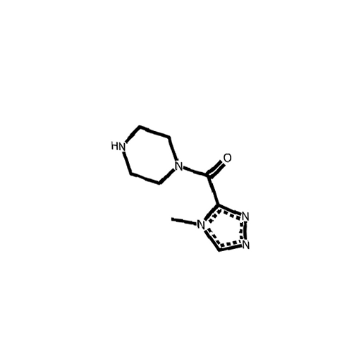 Cn1cnnc1C(=O)N1CCNCC1